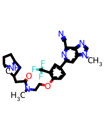 CN(CCOc1ccc(-c2cc3c(ncn3C)c(C#N)n2)cc1C(F)(F)F)C(=O)CC1CC2CCC(C1)N2